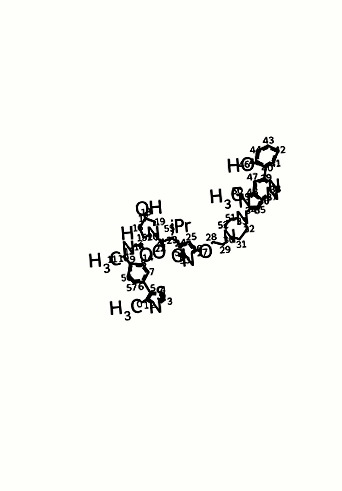 Cc1ncsc1-c1ccc([C@H](C)NC(=O)[C@@H]2C[C@@H](O)CN2C(=O)[C@@H](c2cc(OCCN3CCN(c4cc5nnc(-c6ccccc6O)cc5n4C)CC3)no2)C(C)C)cc1